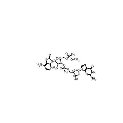 COP(=O)(S)OC[C@H]1O[C@@H](n2c(=O)sc3c(N)ncnc32)C(C)C1O[P@](=O)(S)OC[C@H]1O[C@@H](n2cnc3c(=O)[nH]c(N)nc32)C[C@H]1O